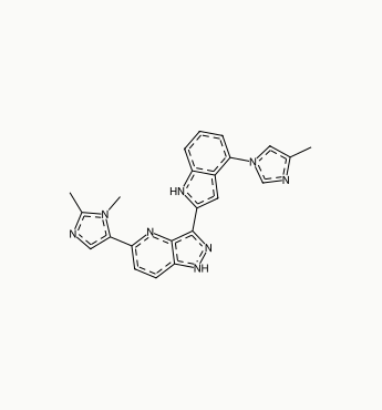 Cc1cn(-c2cccc3[nH]c(-c4n[nH]c5ccc(-c6cnc(C)n6C)nc45)cc23)cn1